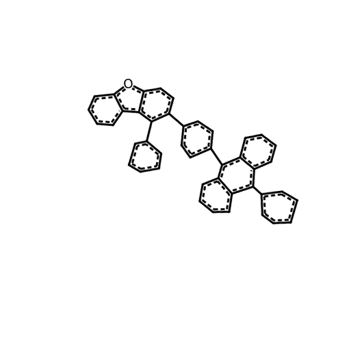 c1ccc(-c2c3ccccc3c(-c3ccc(-c4ccc5oc6ccccc6c5c4-c4ccccc4)cc3)c3ccccc23)cc1